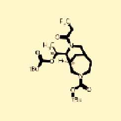 C[C@H](OC(=O)C(C)(C)C)C1[C@H]2CC(CCN(C(=O)OC(C)(C)C)C2)CN1C(=O)CC(F)(F)F